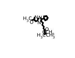 CC(=O)c1cnc2nc(-c3ccccc3)c(CCCCC(=O)OC(C)(C)C)nc2c1